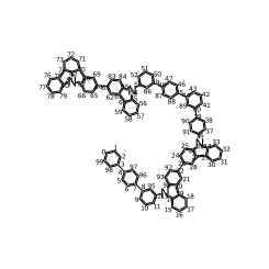 c1ccc(-c2ccc(-c3cccc(-n4c5ccccc5c5cc(-c6ccc7c(c6)c6ccccc6n7-c6ccc(-c7cccc(-c8ccc(-c9cccc(-n%10c%11ccccc%11c%11cc(-c%12ccc%13c(c%12)c%12cccc%14c%15ccccc%15n%13c%14%12)ccc%11%10)c9)cc8)c7)cc6)ccc54)c3)cc2)cc1